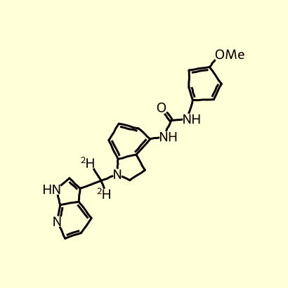 [2H]C([2H])(c1c[nH]c2ncccc12)N1CCc2c(NC(=O)Nc3ccc(OC)cc3)cccc21